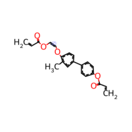 C=CC(=O)O/C=C\Oc1ccc(-c2ccc(OC(=O)C=C)cc2)cc1C